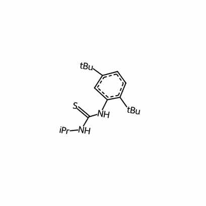 CC(C)NC(=S)Nc1cc(C(C)(C)C)ccc1C(C)(C)C